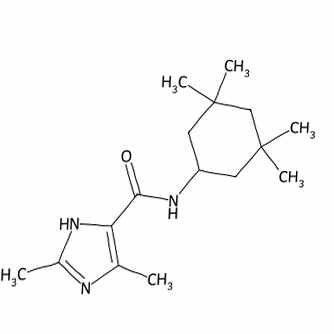 Cc1nc(C)c(C(=O)NC2CC(C)(C)CC(C)(C)C2)[nH]1